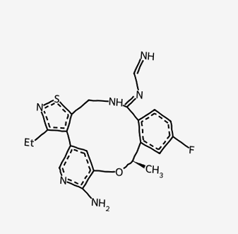 CCc1nsc2c1-c1cnc(N)c(c1)O[C@H](C)c1cc(F)ccc1/C(=N/C=N)NC2